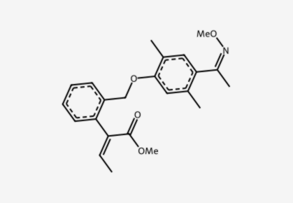 CC=C(C(=O)OC)c1ccccc1COc1cc(C)c(/C(C)=N\OC)cc1C